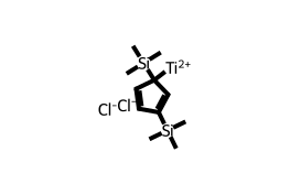 C[Si](C)(C)C1=C[C]([Ti+2])([Si](C)(C)C)C=C1.[Cl-].[Cl-]